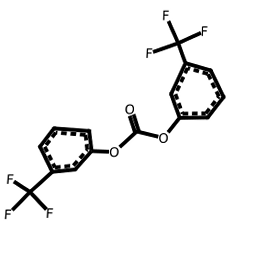 O=C(Oc1cccc(C(F)(F)F)c1)Oc1cccc(C(F)(F)F)c1